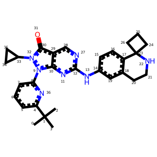 CC(C)(C)c1cccc(-n2c3nc(Nc4ccc5c(c4)CCNC54CCC4)ncc3c(=O)n2C2CC2)n1